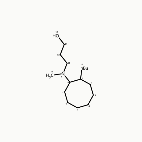 CCCCC1CCCCCCC1N(C)CCCO